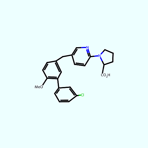 COc1ccc(Cc2ccc(N3CCCC3C(=O)O)nc2)cc1-c1cccc(Cl)c1